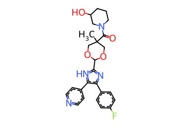 CC1(C(=O)N2CCCC(O)C2)COC(c2nc(-c3ccc(F)cc3)c(-c3ccncc3)[nH]2)OC1